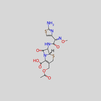 CO/N=C(\C(=O)NC1C(=O)N2C(C(=O)O)=C(COC(C)=O)CS[C@@H]12)c1csc(N)n1